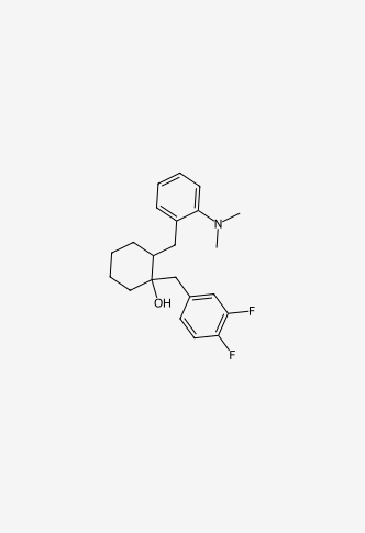 CN(C)c1ccccc1CC1CCCCC1(O)Cc1ccc(F)c(F)c1